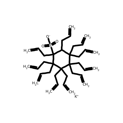 C=CCC1C(CC=C)(CC=C)C(CC=C)(CC=C)C(CC=C)(CC=C)C(CC=C)(CC=C)C1(CC=C)S(=O)(=O)[O-].[K+]